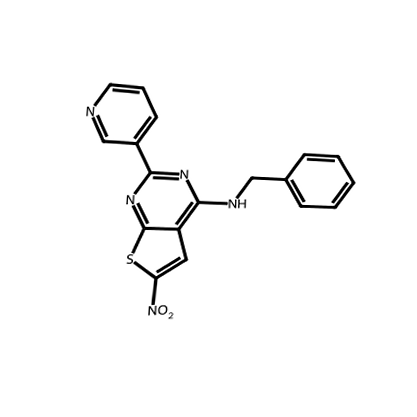 O=[N+]([O-])c1cc2c(NCc3ccccc3)nc(-c3cccnc3)nc2s1